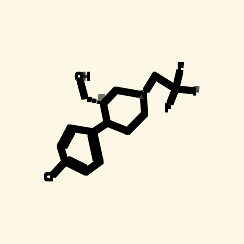 OC[C@@H]1CN(CC(F)(F)F)CCC1c1ccc(Cl)cc1